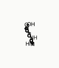 O=C(O)Cn1ccc2ccc(CN3CCCC(Nc4ccc5[nH]ncc5c4)C3)cc21